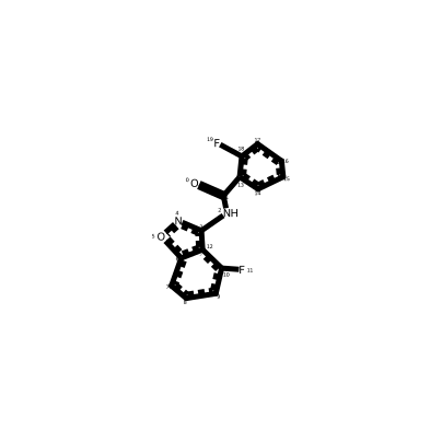 O=C(Nc1noc2cccc(F)c12)c1ccccc1F